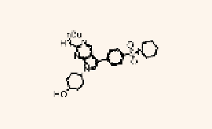 CCCCNc1ncc2c(-c3ccc(S(=O)(=O)N4CCCCC4)cc3)cn([C@H]3CC[C@H](O)CC3)c2n1